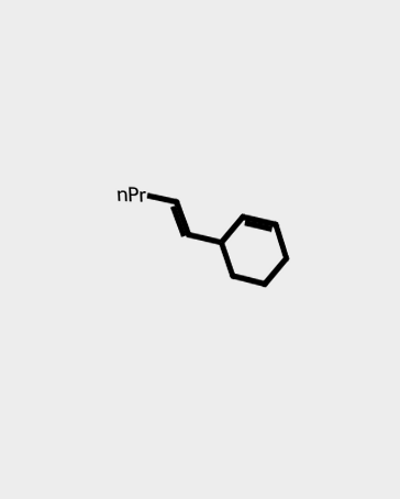 CCCC=C[C]1C=CCCC1